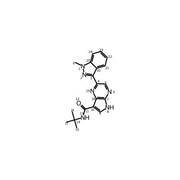 Cn1nc(-c2cnc3[nH]cc(C(=O)NC(C)(C)C)c3n2)c2ccccc21